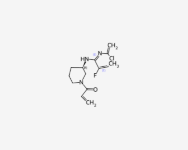 C=CC(=O)N1CCC[C@@H](NC(=N/C(=C)Cl)/C(F)=C\C)C1